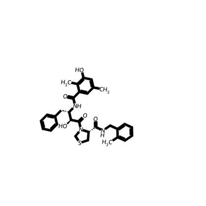 Cc1cc(O)c(C)c(C(=O)N[C@@H](Cc2ccccc2)[C@H](O)C(=O)N2CSC[C@H]2C(=O)NCc2ccccc2C)c1